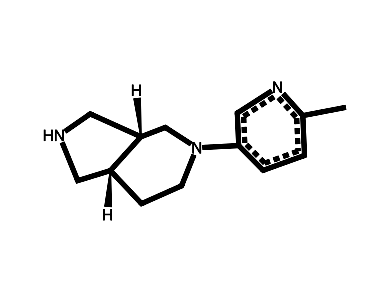 Cc1ccc(N2CC[C@@H]3CNC[C@@H]3C2)cn1